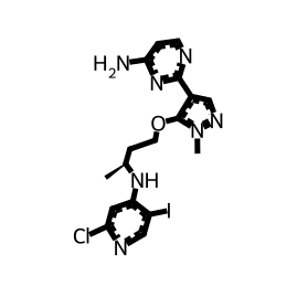 C[C@@H](CCOc1c(-c2nccc(N)n2)cnn1C)Nc1cc(Cl)ncc1I